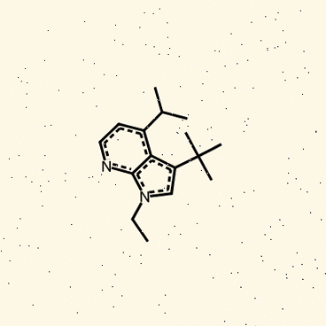 CCn1cc(C(C)(C)C)c2c(C(C)C)ccnc21